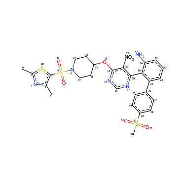 Cc1nc(C)c(S(=O)(=O)N2CCC(Oc3ncnc(-c4c(N)cccc4-c4ccc(S(C)(=O)=O)cc4)c3[N+](=O)[O-])CC2)s1